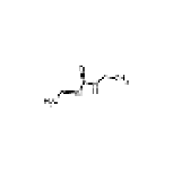 CC=NC(=O)NCC